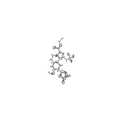 CCOC(=O)c1cc(CC(F)(F)F)c2n1CCc1cc(OC)c(-c3n[nH]c(=O)o3)cc1-2